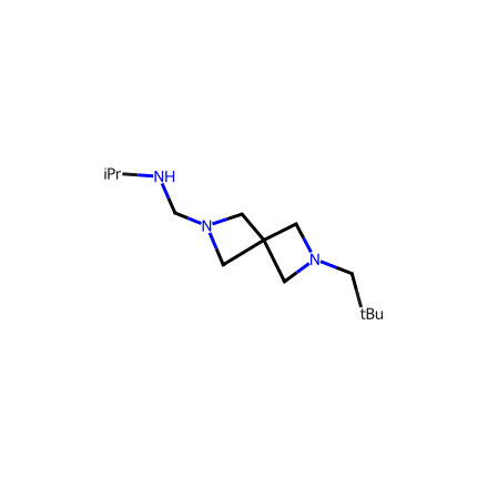 CC(C)NCN1CC2(C1)CN(CC(C)(C)C)C2